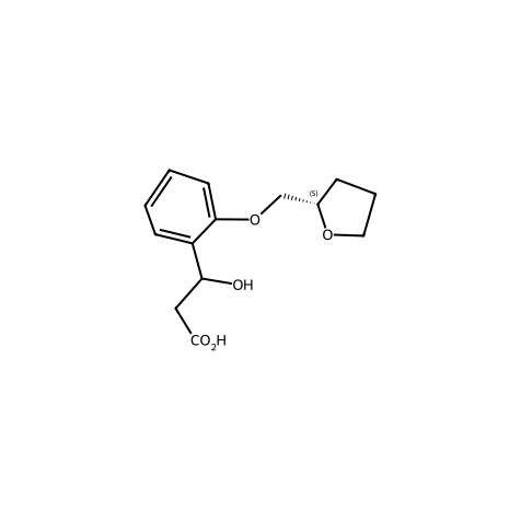 O=C(O)CC(O)c1ccccc1OC[C@@H]1CCCO1